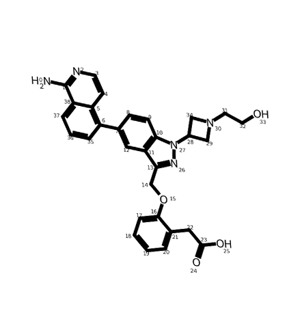 Nc1nccc2c(-c3ccc4c(c3)c(COc3ccccc3CC(=O)O)nn4C3CN(CCO)C3)cccc12